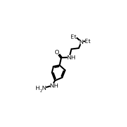 CCN(CC)CCNC(=O)c1ccc(NN)cc1